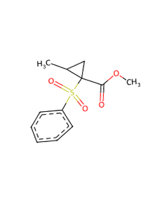 COC(=O)C1(S(=O)(=O)c2ccccc2)CC1C